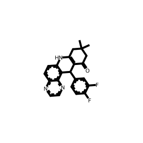 CC1(C)CC(=O)C2=C(C1)Nc1ccc3nccnc3c1C2c1ccc(F)c(F)c1